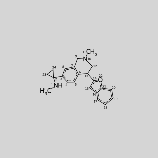 CNC1(c2ccc3c(c2)CN(C)CC3c2cc3ccccc3o2)CC1